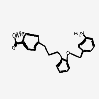 COC(=O)c1ccc(CCCc2ccccc2OCc2cccc(N)c2)cc1